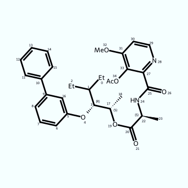 CCC(CC)[C@@H](Oc1cccc(-c2ccccc2)c1)[C@H](C)OC(=O)[C@H](C)NC(=O)c1nccc(OC)c1OC(C)=O